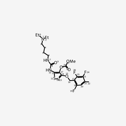 CCN(CC)CCCCNC(=O)Nc1snc(OCc2c(F)cc(C)c(F)c2F)c1OC(=O)OC